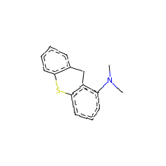 CN(C)c1cccc2c1Cc1ccccc1S2